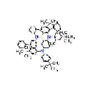 Cc1cc(C(C)(C)C)ccc1N1c2ccc(N(c3ccc(C(C)(C)C)cc3)c3ccc(C(C)(C)C)cc3)cc2B2c3c(cc4c(c31)-c1ccccc1C4(C)C)-c1ccccc1N2c1cccc(-c2ccccc2)c1